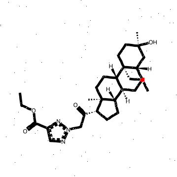 CCOC(=O)c1cnn(CC(=O)[C@H]2CC[C@H]3[C@@H]4CC[C@H]5C[C@](C)(O)CC[C@]5(COC)[C@H]4CC[C@]23C)n1